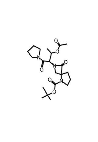 CC(=O)OC(C)C(C(=O)N1CCCC1)N1CC2(CCCN2C(=O)OC(C)(C)C)C1=O